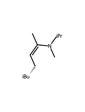 CC[C@@H](C)C/C=C(/C)N(C)C(C)C